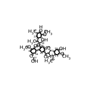 COc1cc(C(SC)C2COC(c3ccc(OC(CO)C(C)c4cc(C)c(O)c(OC)c4)c(-c4cc(OCO)cc(OC)c4O)c3)C2CO)ccc1O